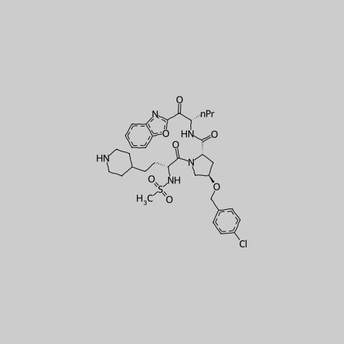 CCC[C@H](NC(=O)[C@@H]1C[C@@H](OCc2ccc(Cl)cc2)CN1C(=O)[C@@H](CCC1CCNCC1)NS(C)(=O)=O)C(=O)c1nc2ccccc2o1